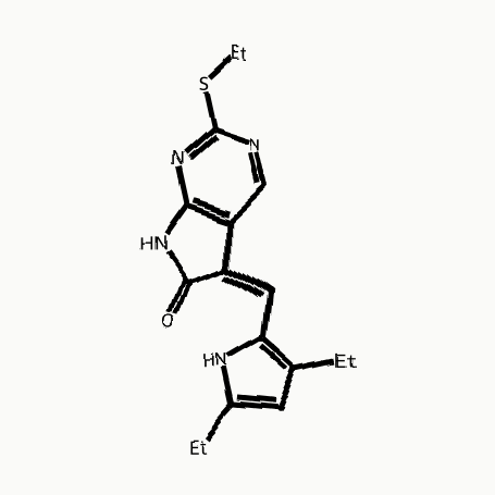 CCSc1ncc2c(n1)NC(=O)C2=Cc1[nH]c(CC)cc1CC